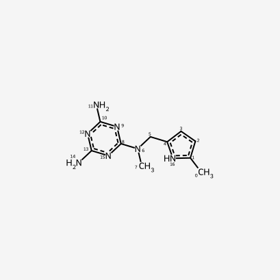 Cc1ccc(CN(C)c2nc(N)nc(N)n2)[nH]1